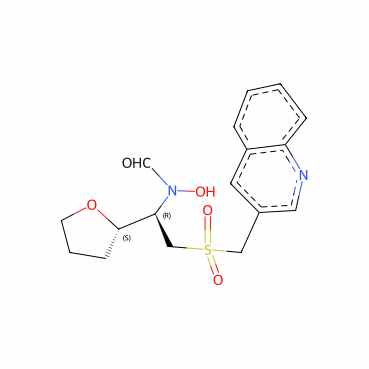 O=CN(O)[C@@H](CS(=O)(=O)Cc1cnc2ccccc2c1)[C@@H]1CCCO1